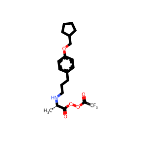 C[C@H](NCCCc1ccc(OCC2CCCC2)cc1)C(=O)OOC(=O)C(F)(F)F